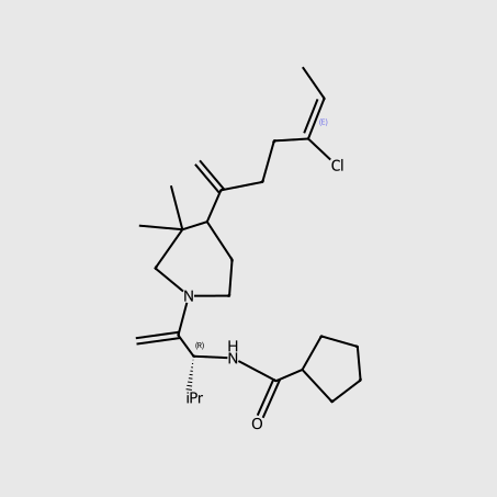 C=C(CC/C(Cl)=C\C)C1CCN(C(=C)[C@H](NC(=O)C2CCCC2)C(C)C)CC1(C)C